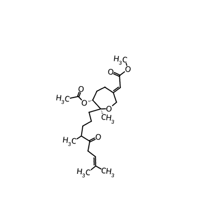 COC(=O)/C=C1\CC[C@@H](OC(C)=O)[C@](C)(CCCC(C)C(=O)CC=C(C)C)OC1